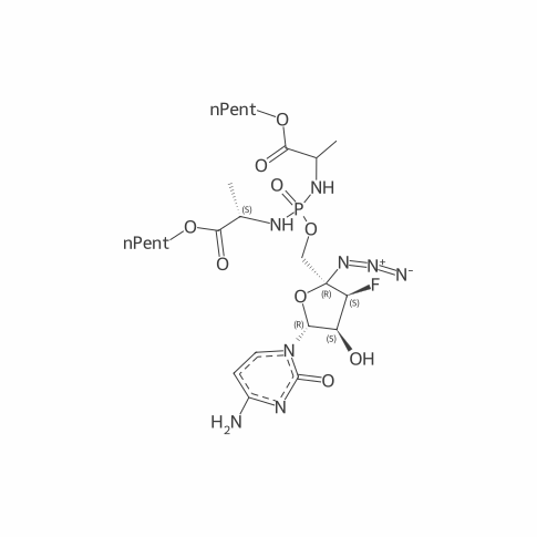 CCCCCOC(=O)C(C)NP(=O)(N[C@@H](C)C(=O)OCCCCC)OC[C@@]1(N=[N+]=[N-])O[C@@H](n2ccc(N)nc2=O)[C@H](O)[C@@H]1F